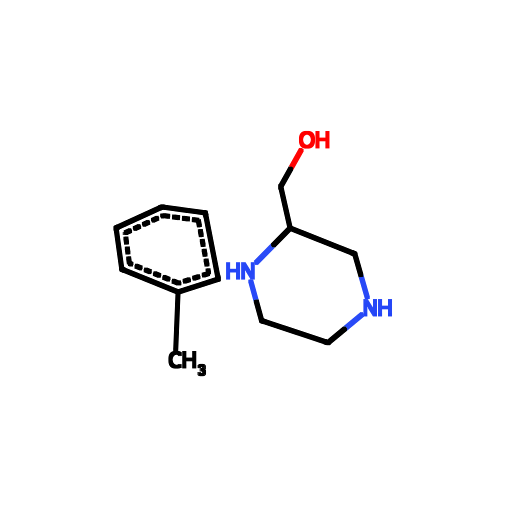 Cc1ccccc1.OCC1CNCCN1